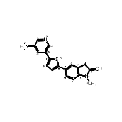 CN1C(=O)Cc2cc(-c3ccc(-c4cncc(N)c4)s3)ccc21